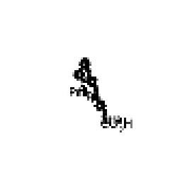 CC(C)N(CC[C@H](c1ccccc1)c1cc(C=CCOc2ccc(CCN(C(=O)O)C(C)(C)C)cc2)ccc1OCc1ccccc1)C(C)C